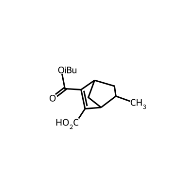 CC(C)COC(=O)C1=C(C(=O)O)C2CC1CC2C